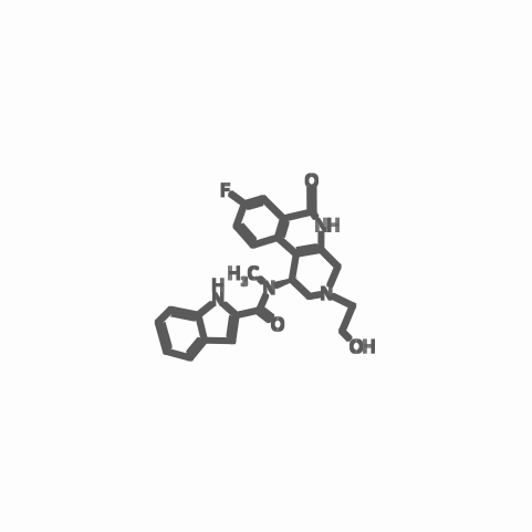 CN(C(=O)c1cc2ccccc2[nH]1)[C@@H]1CN(CCO)Cc2[nH]c(=O)c3cc(F)ccc3c21